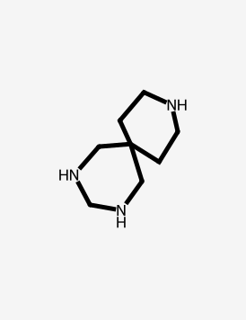 C1CC2(CCN1)CNCNC2